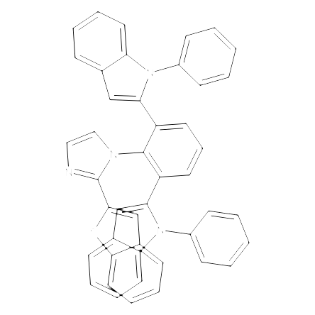 c1ccc(-n2c(-c3cccc(-c4cc5ccccc5n4-c4ccccc4)c3-n3ccnc3-c3cc4ccccc4s3)cc3ccccc32)cc1